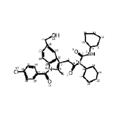 Cc1c(CC(=O)N(C(=O)NC2CCCCC2)C2CCCCC2)c2cc(CO)ccc2n1C(=O)c1ccc(Cl)cc1